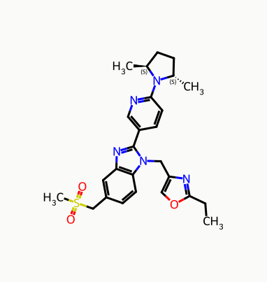 CCc1nc(Cn2c(-c3ccc(N4[C@@H](C)CC[C@@H]4C)nc3)nc3cc(CS(C)(=O)=O)ccc32)co1